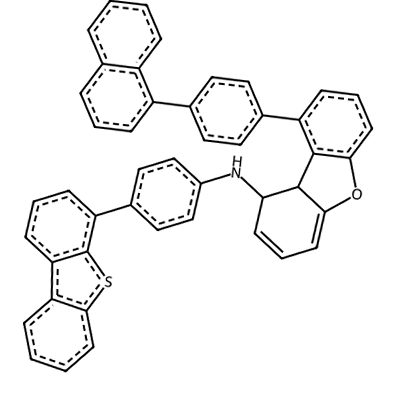 C1=CC(Nc2ccc(-c3cccc4c3sc3ccccc34)cc2)C2C(=C1)Oc1cccc(-c3ccc(-c4cccc5ccccc45)cc3)c12